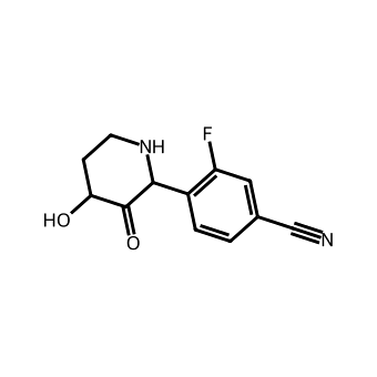 N#Cc1ccc(C2NCCC(O)C2=O)c(F)c1